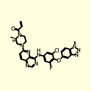 C=CC(=O)N1CCN(c2ccc3ncnc(Nc4cc(F)c(Oc5ccc6c(c5)nnn6C)c(Cl)c4)c3n2)C[C@H]1C